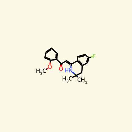 COc1ccccc1C(=O)/C=C1\NC(C)(C)Cc2cc(F)ccc21